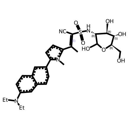 CCN(CC)c1ccc2cc(-c3ccc(/C(C)=C(\C#N)S(=O)(=O)N[C@H]4C(O)O[C@H](CO)[C@@H](O)[C@@H]4O)n3C)ccc2c1